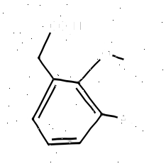 CC(=O)c1cccc(CC(=O)O)c1OI